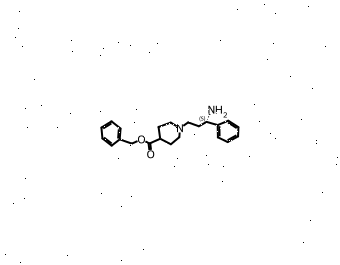 N[C@@H](CCN1CCC(C(=O)OCc2ccccc2)CC1)c1ccccc1